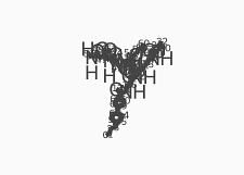 CCCCc1ccc(-c2ccc(C(=O)NCCC(=O)N[C@@H](CCCCNC(=O)OC(C)(C)C)C(=O)N(C)[C@H](C(=O)N[C@@H](N)C(=O)N[C@@H](CC(=O)NC)C(=O)O)[C@@H](C)OCC(C)C)cc2)cc1